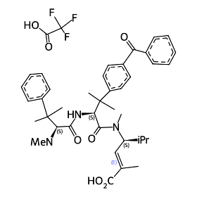 CN[C@H](C(=O)N[C@H](C(=O)N(C)[C@H](/C=C(\C)C(=O)O)C(C)C)C(C)(C)c1ccc(C(=O)c2ccccc2)cc1)C(C)(C)c1ccccc1.O=C(O)C(F)(F)F